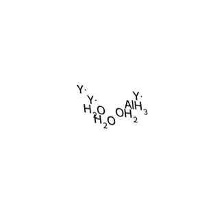 O.O.O.[AlH3].[Y].[Y].[Y]